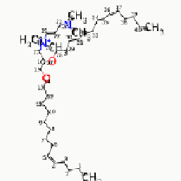 CCCC/C=C\CCCCCCCCOCC(C[N+](C)(C)CCCN(C)C)OCCCCCCCC/C=C\CCCC